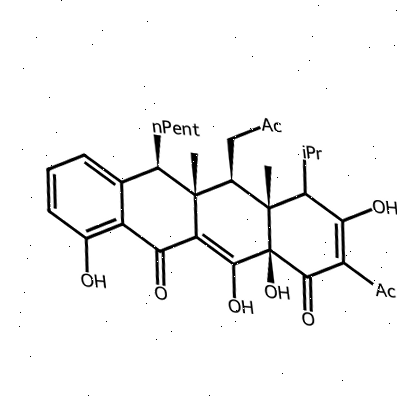 CCCCC[C@@H]1c2cccc(O)c2C(=O)C2=C(O)[C@@]3(O)C(=O)C(C(C)=O)=C(O)C(C(C)C)[C@@]3(C)[C@H](CC(C)=O)[C@]21C